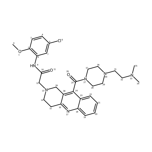 COc1ccc(Cl)cc1NC(=O)CN1CCc2nc3ccccc3c(C(=O)N3CCN(CCN(C)C)CC3)c2C1